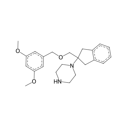 COc1cc(COCC2(N3CCNCC3)Cc3ccccc3C2)cc(OC)c1